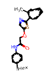 CCCCCCc1ccc(NC(=O)COc2cnc(-c3ccccc3C)s2)cc1